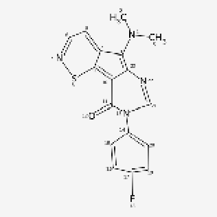 CN(C)c1c2ccnsc-2c2c(=O)n(-c3ccc(F)cc3)cnc12